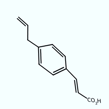 C=CCc1ccc(C=CC(=O)O)cc1